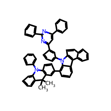 CC1(C)c2ccccc2N(c2ccccc2)c2ccc(-c3cccc4c5c6ccccc6ccc5n(-c5cccc(-c6cc(-c7ccccc7)nc(-c7ccccc7)n6)c5)c34)cc21